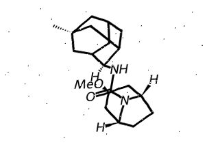 CO[C@@H]1C[C@H]2CC[C@@H](C1)N2C(=O)N[C@H]1C2CC3CC1C[C@](C)(C3)C2